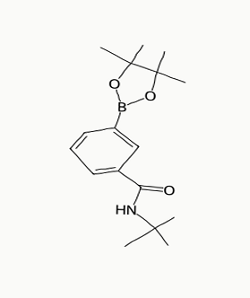 CC(C)(C)NC(=O)c1cccc(B2OC(C)(C)C(C)(C)O2)c1